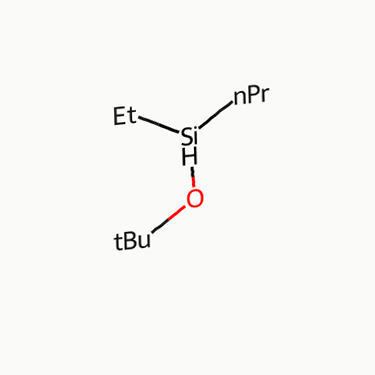 CCC[SiH](CC)OC(C)(C)C